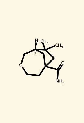 CC1(C)CC2(C(N)=O)CCOC[C@H]1C2